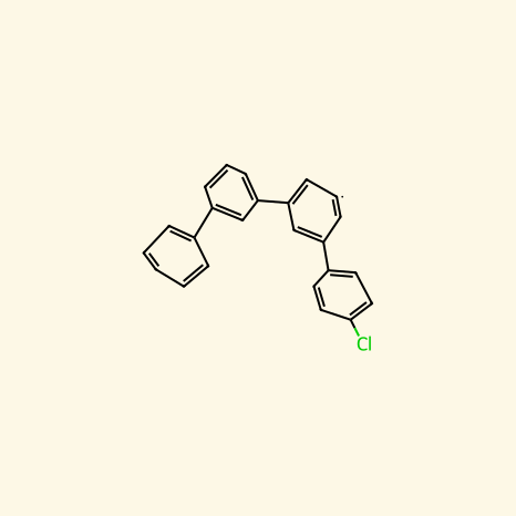 Clc1ccc(-c2c[c]cc(-c3cccc(-c4ccccc4)c3)c2)cc1